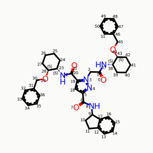 O=C(Cn1nc(C(=O)NC2CCc3ccccc32)cc1C(=O)N[C@H]1CCCC[C@@H]1OCc1ccccc1)N[C@H]1CCCC[C@@H]1OCc1ccccc1